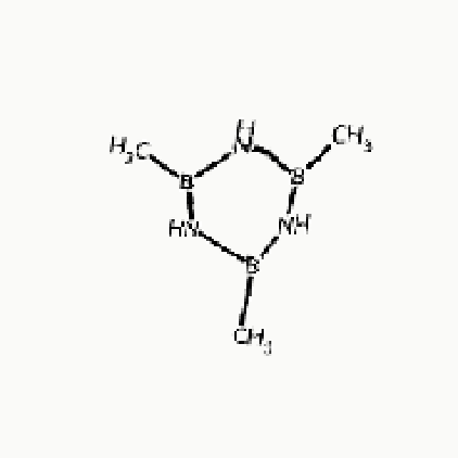 CB1NB(C)NB(C)N1